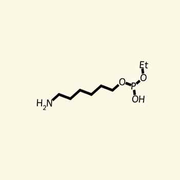 CCOP(O)OCCCCCCN